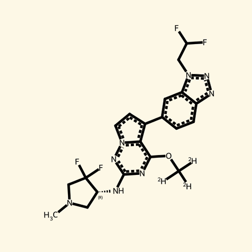 [2H]C([2H])([2H])Oc1nc(N[C@@H]2CN(C)CC2(F)F)nn2ccc(-c3ccc4nnn(CC(F)F)c4c3)c12